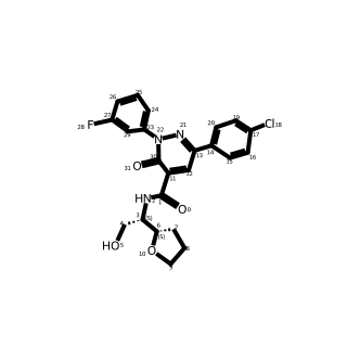 O=C(N[C@@H](CO)[C@@H]1CCCO1)c1cc(-c2ccc(Cl)cc2)nn(-c2cccc(F)c2)c1=O